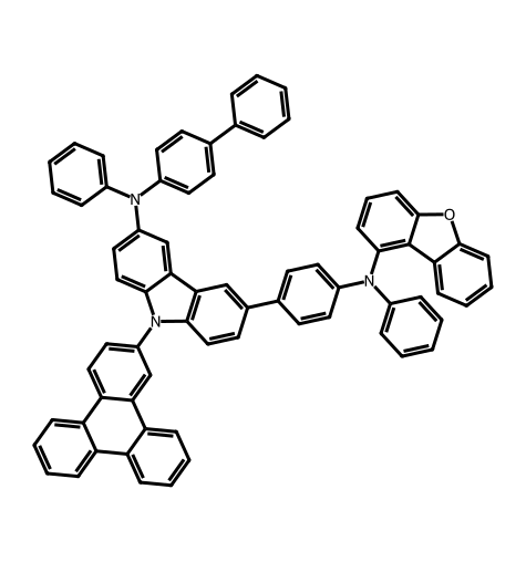 c1ccc(-c2ccc(N(c3ccccc3)c3ccc4c(c3)c3cc(-c5ccc(N(c6ccccc6)c6cccc7oc8ccccc8c67)cc5)ccc3n4-c3ccc4c5ccccc5c5ccccc5c4c3)cc2)cc1